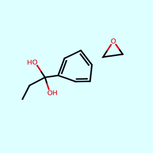 C1CO1.CCC(O)(O)c1ccccc1